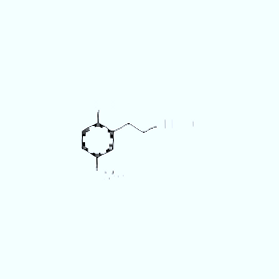 CCCCCCCCCc1cc(OC)ccc1C(=O)O